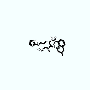 CC1CNc2c(cccc2S(=O)(=O)N[C@@H](CCCNc2ncc[nH]2)C(=O)N(C)CC(=O)O)C1